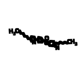 CCCCCCCc1ccc(-c2ccc(C(=O)OC3CCC(C#N)(CCCCCCC)CC3)cc2)nc1